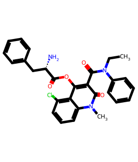 CCN(C(=O)c1c(OC(=O)[C@@H](N)Cc2ccccc2)c2c(Cl)cccc2n(C)c1=O)c1ccccc1